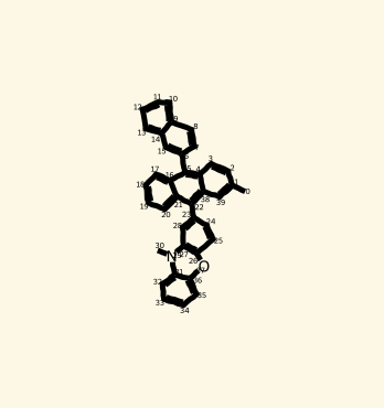 Cc1ccc2c(-c3ccc4ccccc4c3)c3ccccc3c(-c3ccc4c(c3)N(C)c3ccccc3O4)c2c1